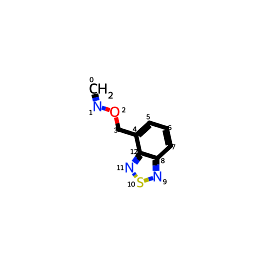 C=NOCc1cccc2nsnc12